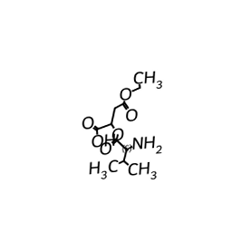 CCOC(=O)CC(OC(=O)[C@@H](N)C(C)C)C(=O)O